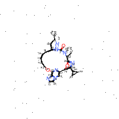 CCN1C(=O)NC(CCC(F)(F)F)CCCCCOc2nc(cn3ccnc23)-c2oc(nc2C2CC2)C1C